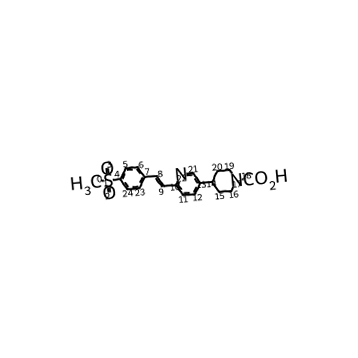 CS(=O)(=O)c1ccc(/C=C/c2ccc(C3CCN(C(=O)O)CC3)cn2)cc1